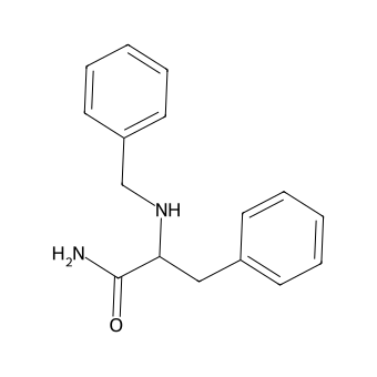 NC(=O)C(Cc1ccccc1)NCc1ccccc1